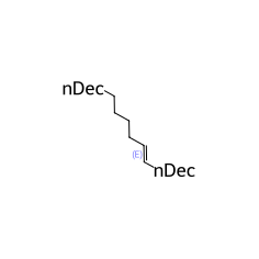 [CH2]CCCCCCCCC/C=C/CCCCCCCCCCCCC[CH2]